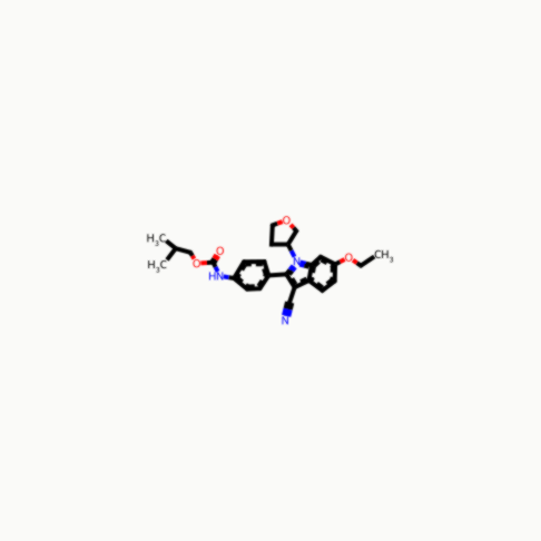 CCOc1ccc2c(C#N)c(-c3ccc(NC(=O)OCC(C)C)cc3)n(C3CCOC3)c2c1